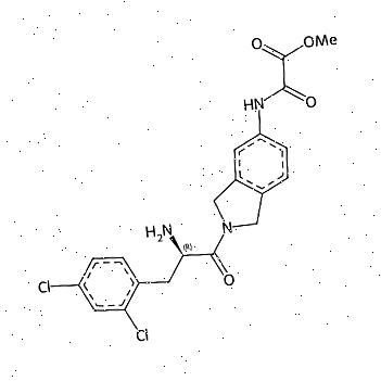 COC(=O)C(=O)Nc1ccc2c(c1)CN(C(=O)[C@H](N)Cc1ccc(Cl)cc1Cl)C2